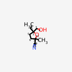 CCC1(CO)CCC(C)(C#N)O1